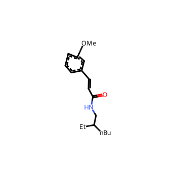 CCCCC(CC)CNC(=O)C=Cc1cccc(OC)c1